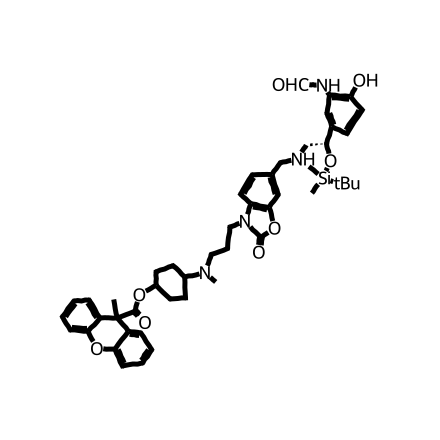 CN(CCCn1c(=O)oc2cc(CNC[C@@H](O[Si](C)(C)C(C)(C)C)c3ccc(O)c(NC=O)c3)ccc21)C1CCC(OC(=O)C2(C)c3ccccc3Oc3ccccc32)CC1